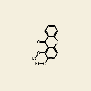 CCOc1ccc2sc3ccccc3c(=O)c2c1OCC